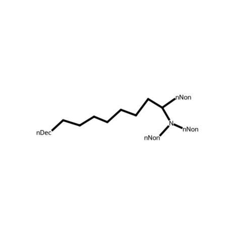 CCCCCCCCCCCCCCCCCC(CCCCCCCCC)N(CCCCCCCCC)CCCCCCCCC